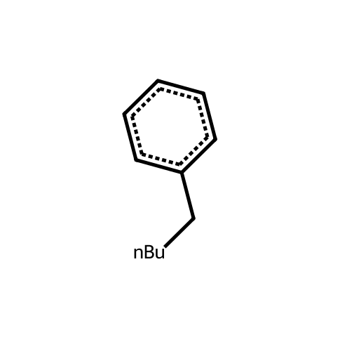 CC[CH]CCc1ccccc1